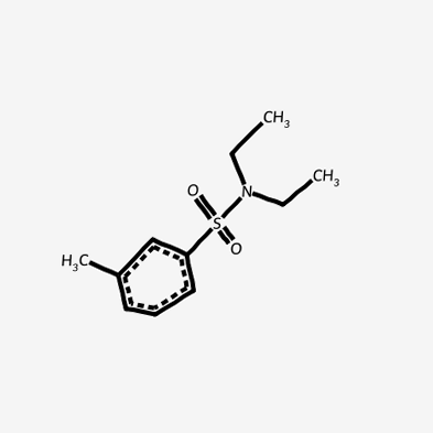 CCN(CC)S(=O)(=O)c1cccc(C)c1